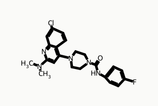 CN(C)c1cc(N2CCN(C(=O)Nc3ccc(F)cc3)CC2)c2ccc(Cl)cc2n1